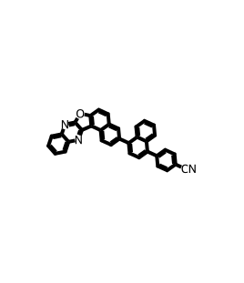 N#Cc1ccc(-c2ccc(-c3ccc4c(ccc5oc6nc7ccccc7nc6c54)c3)c3ccccc23)cc1